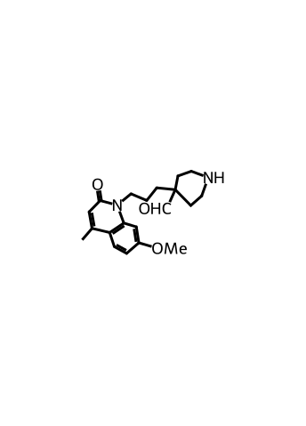 COc1ccc2c(C)cc(=O)n(CCCC3(C=O)CCNCC3)c2c1